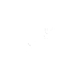 CC(C)CNC(=O)CCCCCN1CCCCC1